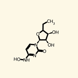 CCC1O[C@H](n2ccc(NO)nc2=O)[C@H](O)[C@@H]1O